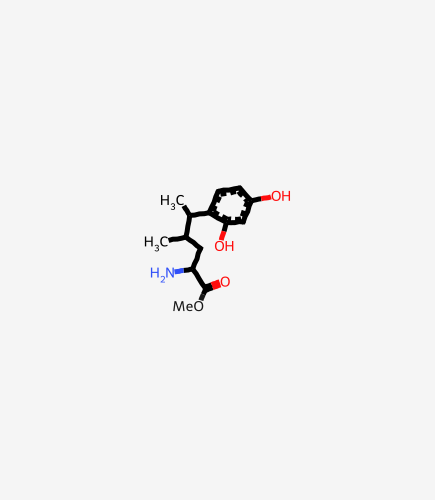 COC(=O)C(N)CC(C)C(C)c1ccc(O)cc1O